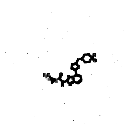 O=C(Nc1nc2cccc(-c3ccc(CN4CCS(=O)(=O)CC4)s3)n2n1)[C@@H]1C[C@H]1C(F)(F)F